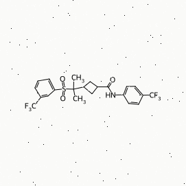 CC(C)(C1CC(C(=O)Nc2ccc(C(F)(F)F)cc2)C1)S(=O)(=O)c1cccc(C(F)(F)F)c1